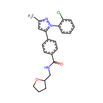 O=C(NCC1CCCO1)c1ccc(-c2cc(C(F)(F)F)nn2-c2ccccc2Cl)cc1